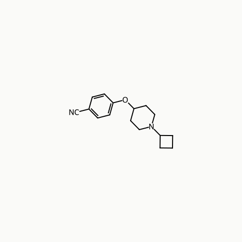 N#Cc1ccc(OC2CCN(C3CCC3)CC2)cc1